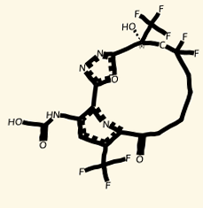 O=C(O)Nc1cc(C(F)(F)F)c2nc1-c1nnc(o1)[C@@](O)(C(F)(F)F)CC(F)(F)CCCCC2=O